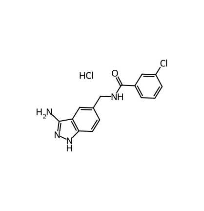 Cl.Nc1n[nH]c2ccc(CNC(=O)c3cccc(Cl)c3)cc12